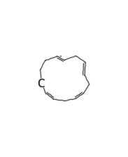 [C]1=C/C/C=C/C/C=C\C/C=C\CCC/1